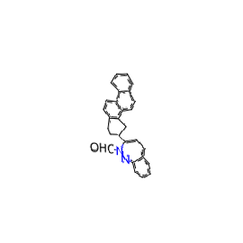 O=CN1N=c2ccccc2=CC=C1C1CCc2ccc3c(ccc4ccccc43)c2C1